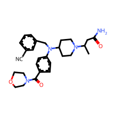 CC(CC(N)=O)N1CCC(N(Cc2cccc(C#N)c2)c2ccc(C(=O)N3CCOCC3)cc2)CC1